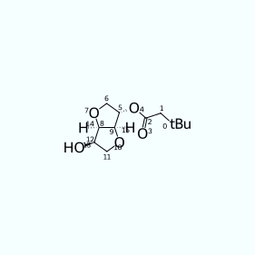 CC(C)(C)CC(=O)O[C@H]1CO[C@H]2[C@@H]1OC[C@H]2O